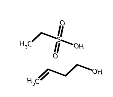 C=CCCO.CCS(=O)(=O)O